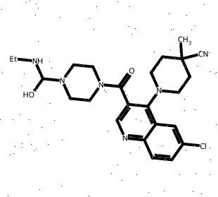 CCNC(O)N1CCN(C(=O)c2cnc3ccc(Cl)cc3c2N2CCC(C)(C#N)CC2)CC1